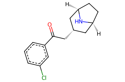 O=C(C[C@@H]1C[C@H]2CC[C@@H](C1)N2)c1cccc(Cl)c1